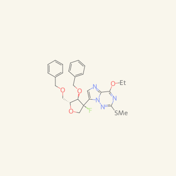 CCOc1nc(SC)nn2c([C@]3(F)CO[C@H](COCc4ccccc4)[C@H]3OCc3ccccc3)cnc12